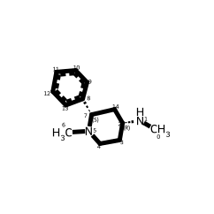 CN[C@@H]1CCN(C)[C@H](c2ccccc2)C1